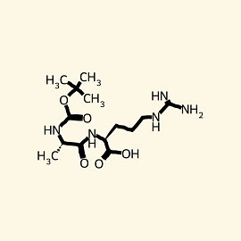 C[C@H](NC(=O)OC(C)(C)C)C(=O)N[C@@H](CCCNC(=N)N)C(=O)O